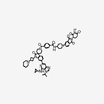 CC(C)n1cnc2cc(-c3ccc4c(c3)N(C3CC(N5CCCCC5)C3)C(=O)C43CCN(C(=O)c4ccc(C(=O)NC5CCN(c6ccc7c(c6)C(=O)N(C6CCC(=O)NC6=O)C7=O)CC5)cc4)CC3)nc(NC3CC3)c21